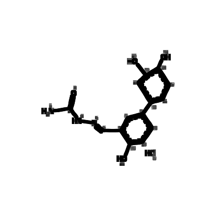 Cl.NC(=O)NN=Cc1cc(-c2ccc(O)c(O)c2)ccc1O